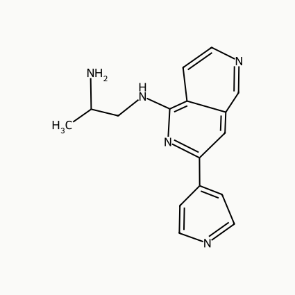 CC(N)CNc1nc(-c2ccncc2)cc2cnccc12